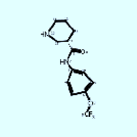 O=C(Nc1ccc(OC(F)(F)F)cc1)[C@H]1CCCNC1